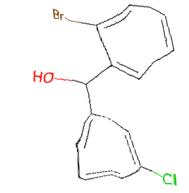 OC(c1cccc(Cl)c1)c1ccccc1Br